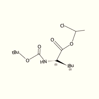 CC[C@H](C)[C@H](NC(=O)OC(C)(C)C)C(=O)OC(C)Cl